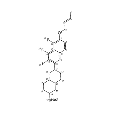 CC=CCOc1ccc2cc(C3CCC4CC(CCCCCC)CCC4C3)c(F)c(F)c2c1F